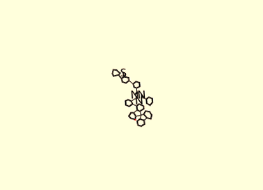 c1ccc(-c2nc(-c3cccc(-c4ccc5c(c4)sc4ccccc45)c3)nc(-c3ccccc3-c3cccc4c3-c3ccccc3C43c4ccccc4-c4ccccc43)n2)cc1